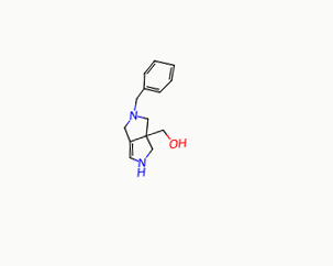 OCC12CNC=C1CN(Cc1ccccc1)C2